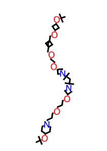 CC(C)(C)OC1CCN(CCCOCCCOC2CN(C(C)(C)CC(C)(C)N3CC(OCCOCC45CC(COC6CC(OC(C)(C)C)C6)(C4)C5)C3)C2)CC1